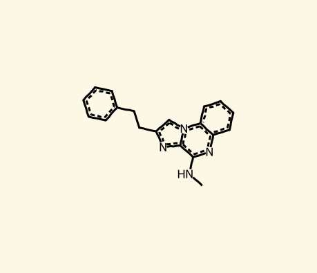 CNc1nc2ccccc2n2cc(CCc3ccccc3)nc12